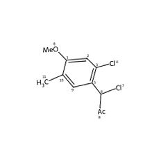 COc1cc(Cl)c(C(Cl)C(C)=O)cc1C